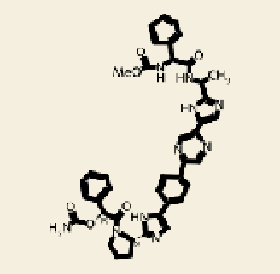 COC(=O)NC(C(=O)NC(C)c1ncc(-c2cnc(-c3ccc(-c4cnc([C@@H]5CCCN5C(=O)[C@H](OC(N)=O)c5ccccc5)[nH]4)cc3)cn2)[nH]1)c1ccccc1